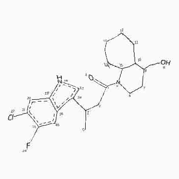 CC(CC(=O)N1CCC(O)C2CCCCC21)c1c[nH]c2cc(Cl)c(F)cc12